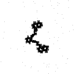 C(#Cc1ccccc1C#CCCC[n+]1cccc2ccccc21)CCC[n+]1cccc2ccccc21